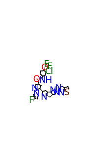 O=C(Nc1ccc(OC(F)(F)Cl)cc1)c1cnc(N2CC[C@@H](F)C2)c(-c2cnc3c(c2)-c2nn(-c4ncc5ccsc5n4)cc2C3)c1